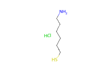 Cl.NCCCCCCS